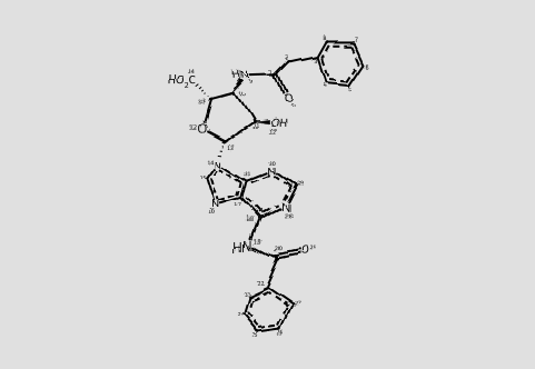 O=C(Cc1ccccc1)N[C@H]1[C@@H](O)[C@H](n2cnc3c(NC(=O)c4ccccc4)ncnc32)O[C@@H]1C(=O)O